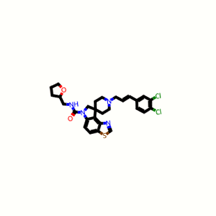 O=C(NCC1CCCO1)N1CC2(CCN(C/C=C/c3ccc(Cl)c(Cl)c3)CC2)c2c1ccc1scnc21